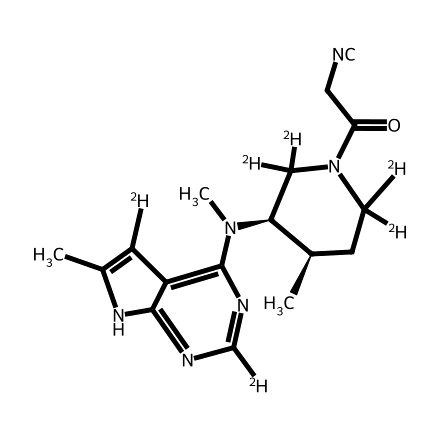 [2H]c1nc(N(C)[C@@H]2[C@H](C)CC([2H])([2H])N(C(=O)C[N+]#[C-])C2([2H])[2H])c2c([2H])c(C)[nH]c2n1